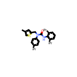 Cc1csc(CN(C(=O)Nc2c(C(C)C)cccc2C(C)C)c2ccc(C(C)C)cc2)c1